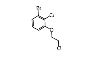 ClCCOc1cccc(Br)c1Cl